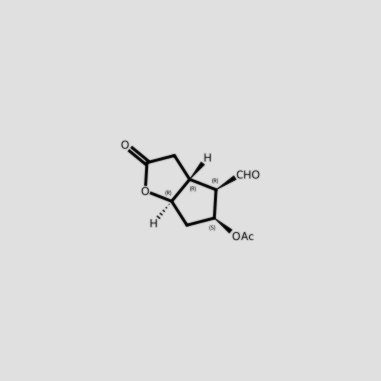 CC(=O)O[C@H]1C[C@H]2OC(=O)C[C@@H]2[C@H]1C=O